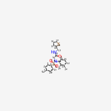 Cc1ccc(S(=O)(=O)N(CC(=O)NCc2cccs2)c2cccc(C)c2C)cc1